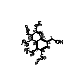 OCc1cc(SF)c(SF)c2c(SF)c(SF)c(SF)nc12